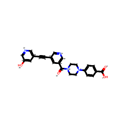 O=C(O)c1ccc(N2CCN(C(=O)c3cncc(C#Cc4cncc(O)c4)c3)CC2)cc1